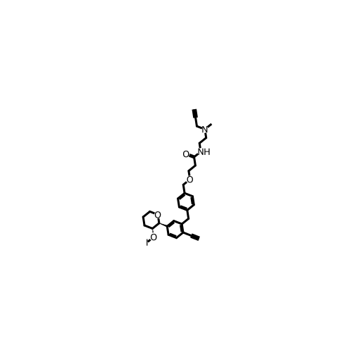 C#CCN(C)CCNC(=O)CCOCc1ccc(Cc2cc([C@@H]3OCCC[C@H]3OI)ccc2C#C)cc1